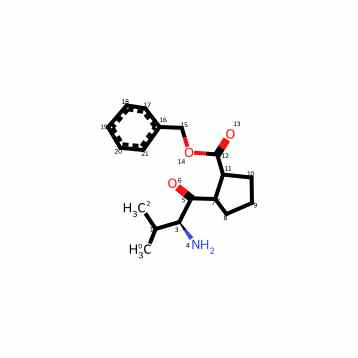 CC(C)[C@H](N)C(=O)[C]1CCCC1C(=O)OCc1ccccc1